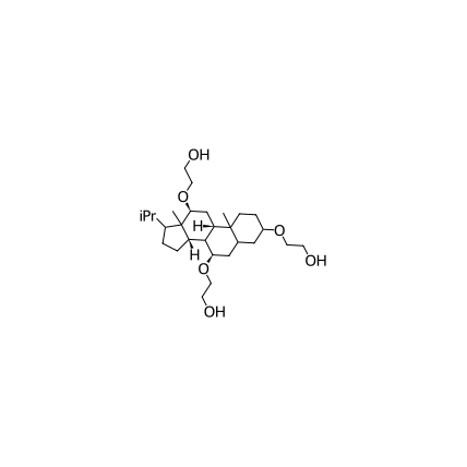 CC(C)C1CC[C@H]2C3[C@H](OCCO)CC4CC(OCCO)CCC4(C)[C@H]3C[C@H](OCCO)C12C